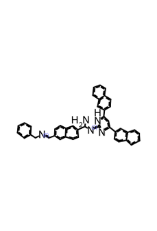 NC(/N=c1/nc(-c2ccc3ccccc3c2)cc(-c2ccc3ccccc3c2)[nH]1)c1ccc2cc(/C=N/Cc3ccccc3)ccc2c1